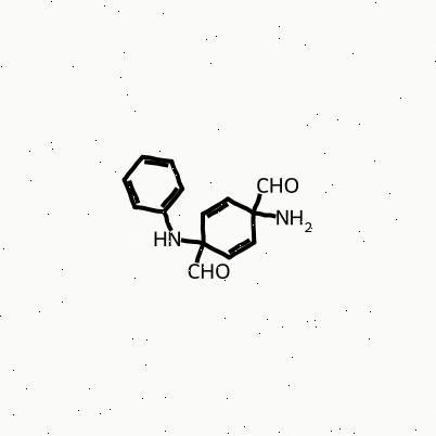 NC1(C=O)C=CC(C=O)(Nc2ccccc2)C=C1